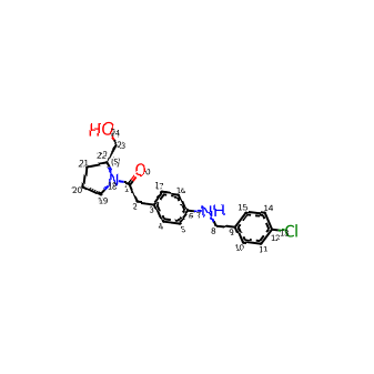 O=C(Cc1ccc(NCc2ccc(Cl)cc2)cc1)N1CCC[C@H]1CO